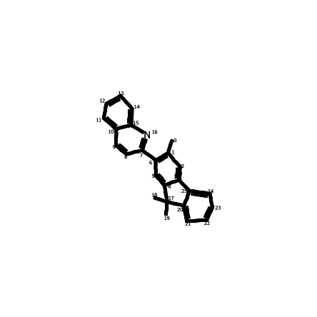 Cc1cc2c(cc1-c1ccc3ccccc3n1)C(C)(C)c1ccccc1-2